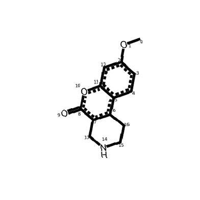 COc1ccc2c3c(c(=O)oc2c1)CNCC3